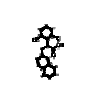 O=C(O)C(Cc1ccc2ncccc2c1)c1c(Cl)cccc1Cl